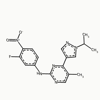 Cc1cnc(Nc2ccc([N+](=O)[O-])c(F)c2)nc1-c1cnn(C(C)C)c1